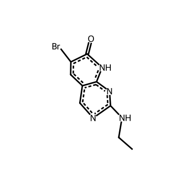 CCNc1ncc2cc(Br)c(=O)[nH]c2n1